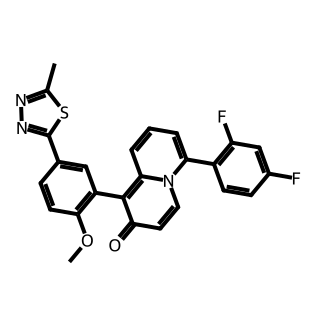 COc1ccc(-c2nnc(C)s2)cc1-c1c(=O)ccn2c(-c3ccc(F)cc3F)cccc12